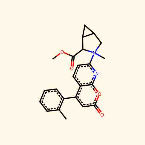 COC(=O)C1C2CC2C[N+]1(C)c1ccc2c(-c3ccccc3C)cc(=O)oc2n1